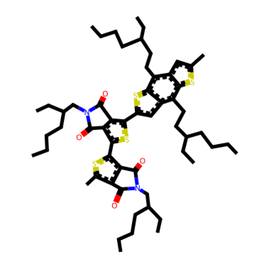 CCCCC(CC)CCc1c2cc(-c3sc(-c4sc(C)c5c4C(=O)N(CC(CC)CCCC)C5=O)c4c3C(=O)N(CC(CC)CCCC)C4=O)sc2c(CCC(CC)CCCC)c2cc(C)sc12